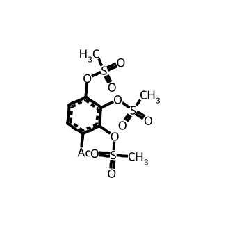 CC(=O)c1ccc(OS(C)(=O)=O)c(OS(C)(=O)=O)c1OS(C)(=O)=O